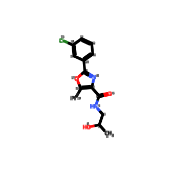 CC(O)CNC(=O)c1nc(-c2cccc(Cl)c2)oc1C(C)C